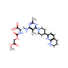 COC(=O)COC(=O)N[C@@H](CNc1nc(C)nc(N2CCC(c3ccc4c(n3)NCCC4)CC2)c1C)C(=O)O